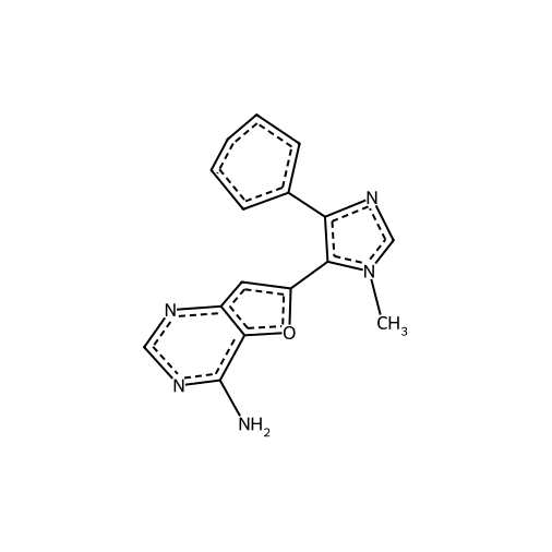 Cn1cnc(-c2ccccc2)c1-c1cc2ncnc(N)c2o1